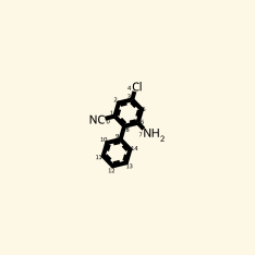 N#Cc1cc(Cl)cc(N)c1-c1ccccc1